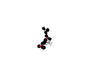 CC1(C)c2cc(N(c3ccccc3)c3ccc(-c4ccc5c(c4)c4ccccc4n5-c4ccccc4)cc3)ccc2-c2ccc(-n3c4ccccc4c4ccccc43)cc21